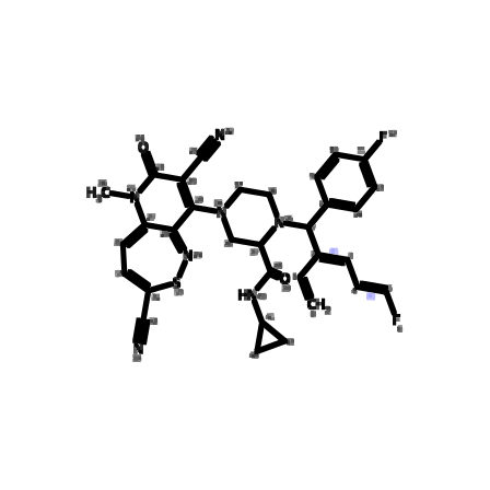 C=C/C(=C\C=C\F)C(c1ccc(F)cc1)N1CCN(c2c(C#N)c(=O)n(C)c3c2=NSC(C#N)=CC=3)CC1C(=O)NC1CC1